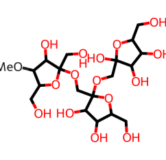 COC1C(CO)OC(CO)(OCC2(OCC3(O)OC(CO)C(O)C3O)OC(CO)C(O)C2O)C1O